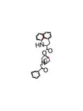 O=C(C[N+]12CCC(CC1)C(OC(=O)C(Cc1ccccc1)Nc1ccccc1)C2)c1ccccc1